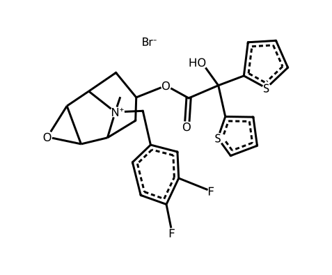 C[N+]1(Cc2ccc(F)c(F)c2)C2CC(OC(=O)C(O)(c3cccs3)c3cccs3)CC1C1OC12.[Br-]